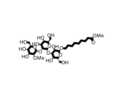 COC(=O)CCCCCCCCO[C@H]1O[C@H](CO)[C@@H](O)[C@H](O[C@H]2O[C@H](CO)[C@@H](O)[C@H](O)[C@H]2O[C@H]2O[C@H](CO)[C@@H](O)[C@H](O)[C@H]2OC)[C@H]1O